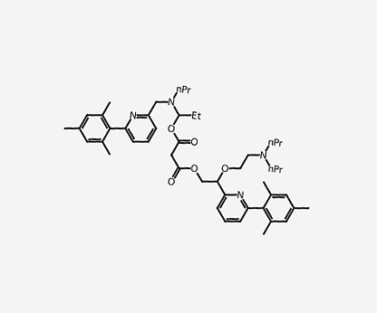 CCCN(CCC)CCOC(COC(=O)CC(=O)OC(CC)N(CCC)Cc1cccc(-c2c(C)cc(C)cc2C)n1)c1cccc(-c2c(C)cc(C)cc2C)n1